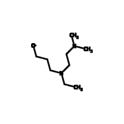 CCN(CCC[O])CCN(C)C